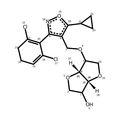 OC1CO[C@@H]2C(OCc3c(C4=C(Cl)CCC=C4Cl)noc3C3CC3)CO[C@H]12